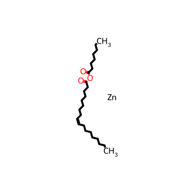 CCCCCCCC/C=C\CCCCCCCC(=O)OC(=O)CCCCCCC.[Zn]